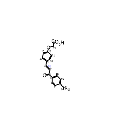 CC(C)(C)c1ccc(C(=O)/C=C/c2ccc(OCC(=O)O)cc2)cc1